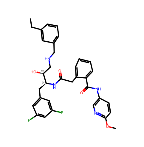 CCc1cccc(CNC[C@H](O)[C@H](Cc2cc(F)cc(F)c2)NC(=O)Cc2ccccc2C(=O)Nc2ccc(OC)nc2)c1